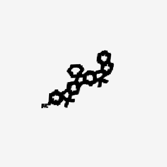 CC1(C)c2cc(C#N)ccc2-c2cc3c(cc21)-c1cc2c(cc1C31CCCCC1)-c1c(ccc3ccccc13)C2(C)C